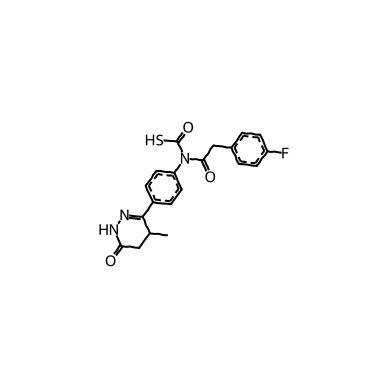 CC1CC(=O)NN=C1c1ccc(N(C(=O)S)C(=O)Cc2ccc(F)cc2)cc1